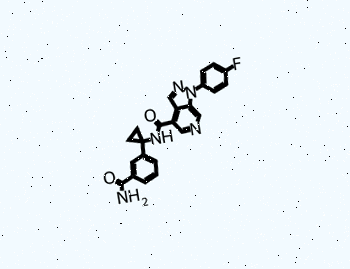 NC(=O)c1cccc(C2(NC(=O)c3cncc4c3cnn4-c3ccc(F)cc3)CC2)c1